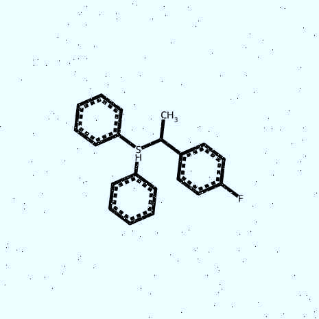 CC(c1ccc(F)cc1)[SH](c1ccccc1)c1ccccc1